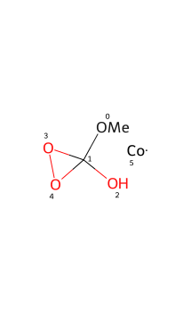 COC1(O)OO1.[Co]